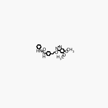 COc1cc2ncnc(OCCc3ccc(NC(=O)Nc4ccccc4)cc3)c2cc1OC